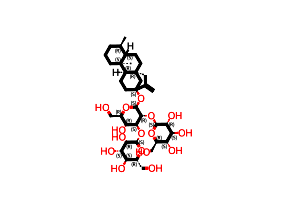 C=C1C[C@@]23CC[C@H]4[C@H](C)CCC[C@]4(C)[C@@H]2CC[C@]1(O[C@@H]1O[C@H](CO)[C@@H](O)[C@H](O[C@@H]2O[C@H](CO)[C@@H](O)[C@H](O)[C@H]2O)[C@H]1O[C@@H]1O[C@H](CO)[C@@H](O)[C@H](O)[C@H]1O)C3